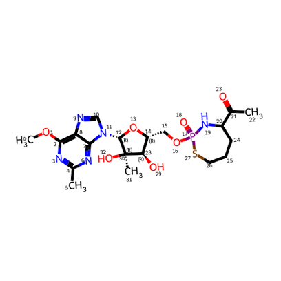 COc1nc(C)nc2c1ncn2[C@@H]1O[C@H](COP2(=O)NC(C(C)=O)CCCS2)[C@@H](O)[C@@]1(C)O